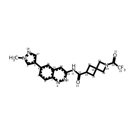 Cn1cc(-c2ccc3nnc(NC(=O)C4CC5(C4)CN(C(=O)C(F)(F)F)C5)cc3c2)cn1